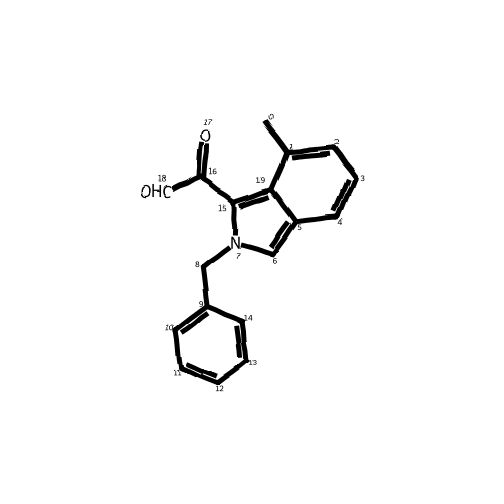 Cc1cccc2cn(Cc3ccccc3)c(C(=O)C=O)c12